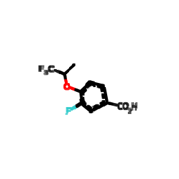 CC(Oc1ccc(C(=O)O)cc1F)C(F)(F)F